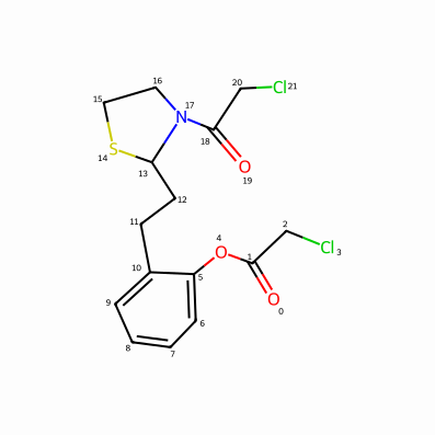 O=C(CCl)Oc1ccccc1CCC1SCCN1C(=O)CCl